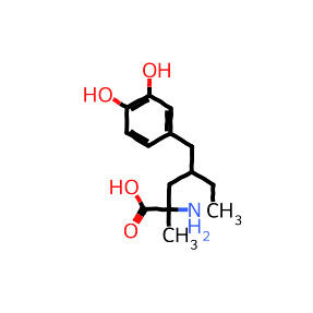 CCC(Cc1ccc(O)c(O)c1)CC(C)(N)C(=O)O